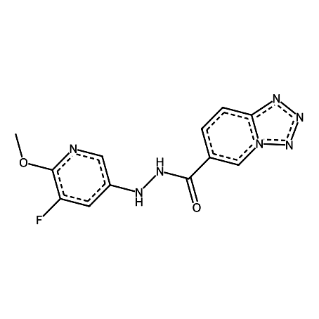 COc1ncc(NNC(=O)c2ccc3nnnn3c2)cc1F